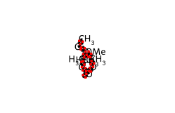 COc1ccc(C(C)(C)c2ccc(Oc3ccc(P(=O)(c4ccccc4)c4ccc(Oc5ccc(C(C)(C)c6ccc(Oc7ccc(C(=O)c8ccc(C)cc8)cc7)cc6)cc5)cc4)cc3)cc2)cc1